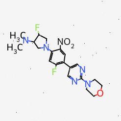 CN(C)C1CN(c2cc(F)c(-c3cnc(N4CCOCC4)nc3)cc2[N+](=O)[O-])CC1F